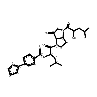 CC(C)CC(O)C(=O)N1CC(=O)C2C1CCN2C(=O)C(CC(C)C)NC(=O)c1ccc(-c2cccs2)cc1